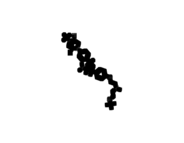 CN(CCOc1ccc(C(C)(CC(C)(C)c2ccc(N3C[C@@H]4C[C@H]3CN4C(C)(C)C)cc2)C(C)(C)N(C)C)cc1)CCOC(C)(C)C